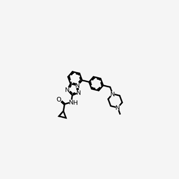 CN1CCN(Cc2ccc(-c3cccc4nc(NC(=O)C5CC5)nn34)cc2)CC1